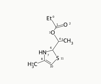 CCC(=O)OC(C)C1NC(C)=CS1